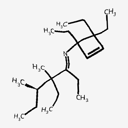 CCC(=NC1(CC)C=CC1(CC)CC)C(C)(CC)[C@H](C)CC